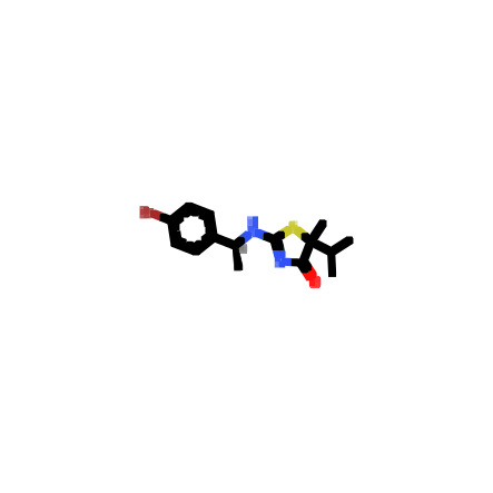 CC(C)C1(C)SC(N[C@@H](C)c2ccc(Br)cc2)=NC1=O